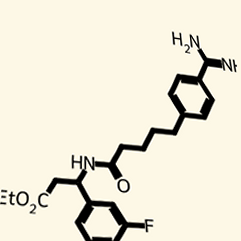 CCOC(=O)CC(NC(=O)CCCCc1ccc(C(=N)N)cc1)c1cccc(F)c1